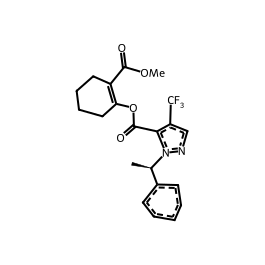 COC(=O)C1=C(OC(=O)c2c(C(F)(F)F)cnn2[C@H](C)c2ccccc2)CCCC1